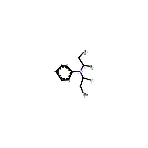 CCC(C)CC(CC)[I+](c1ccccc1)C(CC)CC(C)CC